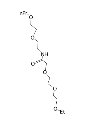 CCCOCCOCCNC(=O)COCCOCCOCC